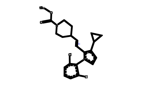 CC(C)(C)OC(=O)N1CCC(/C=C/c2c(C3CC3)ccn2-c2c(Cl)cccc2Cl)CC1